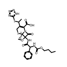 CCCCOC(=O)NC(C(=O)NC1(OC)C(=O)N2C(C(=O)O)=C(C(C)Sc3nnn[nH]3)CS[C@H]21)c1ccccc1